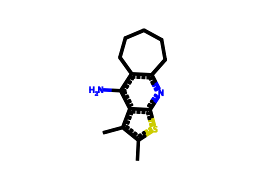 Cc1sc2nc3c(c(N)c2c1C)CCCCC3